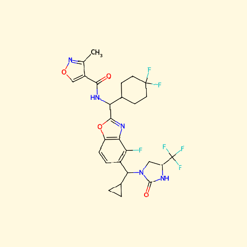 Cc1nocc1C(=O)NC(c1nc2c(F)c(C(C3CC3)N3CC(C(F)(F)F)NC3=O)ccc2o1)C1CCC(F)(F)CC1